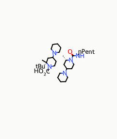 CC(C)(C)[C@]1(C)CC(N2CCCCC2)CCN1C(=O)O.CCCCCNC(=O)N1CCC(N2CCCCC2)C[C@@H]1C